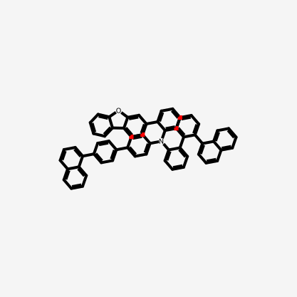 c1ccc(-c2cccc3ccccc23)c(-c2ccccc2N(c2ccc(-c3ccc(-c4cccc5ccccc45)cc3)cc2)c2ccccc2-c2ccc3c(c2)oc2ccccc23)c1